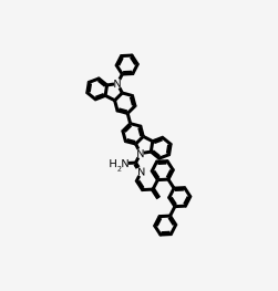 C=C(/C=C\N=C(/N)n1c2ccccc2c2cc(C3=CC4c5ccccc5N(c5ccccc5)C4C=C3)ccc21)c1ccccc1-c1cccc(-c2ccccc2)c1